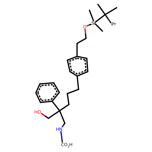 CC(C)C(C)(C)[Si](C)(C)OCCc1ccc(CCCC(CO)(CNC(=O)O)c2ccccc2)cc1